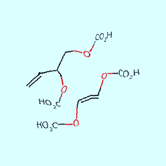 C=CC(COC(=O)O)OC(=O)O.O=C(O)O/C=C/OC(=O)O